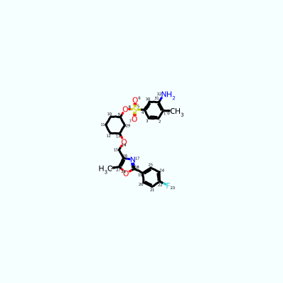 Cc1ccc(S(=O)(=O)OC2CCCC(OCc3nc(-c4ccc(F)cc4)oc3C)C2)cc1N